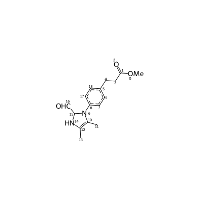 COC(=O)CCc1ccc(N2C(C)=C(C)NC2C=O)cc1